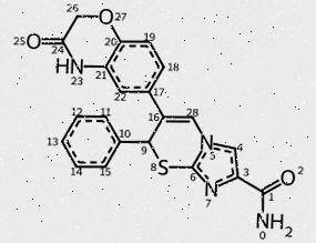 NC(=O)c1cn2c(n1)SC(c1ccccc1)C(c1ccc3c(c1)NC(=O)CO3)=C2